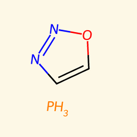 P.c1conn1